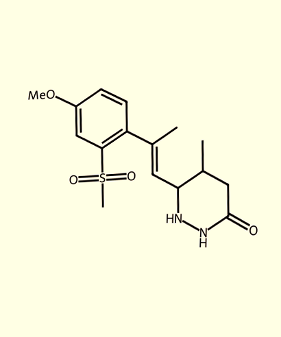 COc1ccc(/C(C)=C/C2NNC(=O)CC2C)c(S(C)(=O)=O)c1